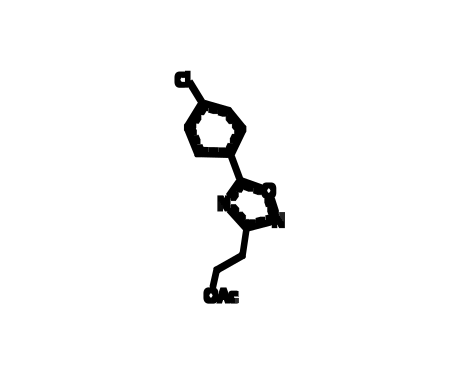 CC(=O)OCCc1noc(-c2ccc(Cl)cc2)n1